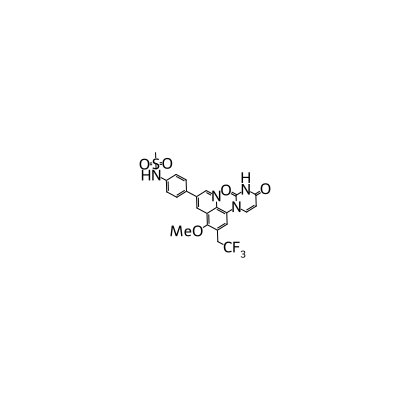 COc1c(CC(F)(F)F)cc(-n2ccc(=O)[nH]c2=O)c2ncc(-c3ccc(NS(C)(=O)=O)cc3)cc12